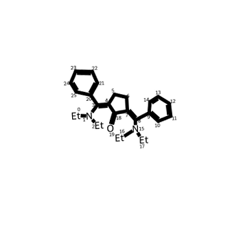 CCN(CC)C(=C1CCC(=C(c2ccccc2)N(CC)CC)C1=O)c1ccccc1